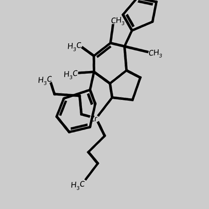 CCC[CH2][Zr]([CH2]CCC)[CH]1CCC2C1C(C)(c1ccccc1)C(C)=C(C)C2(C)C1=CC=CC1